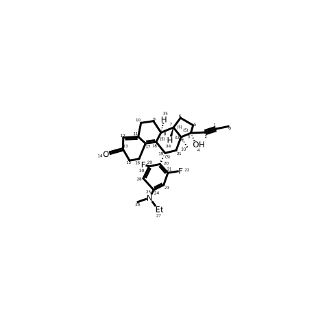 CC#C[C@]1(O)CC[C@H]2[C@@H]3CCC4=CC(=O)CCC4=C3[C@@H](c3c(F)cc(N(C)CC)cc3F)C[C@@]21C